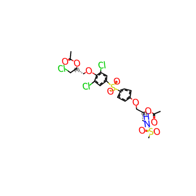 CC(=O)O[C@H](CNS(C)(=O)=O)COc1ccc(S(=O)(=O)c2cc(Cl)c(OC[C@H](CCl)OC(C)=O)c(Cl)c2)cc1